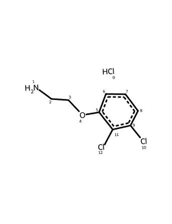 Cl.NCCOc1cccc(Cl)c1Cl